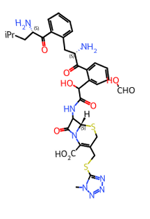 CC(C)C[C@H](N)C(=O)c1ccccc1C[C@H](N)C(=O)c1ccccc1C(O)C(=O)NC1C(=O)N2C(C(=O)O)=C(CSc3nnnn3C)CS[C@@H]12.O=CO